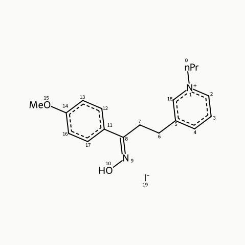 CCC[n+]1cccc(CCC(=NO)c2ccc(OC)cc2)c1.[I-]